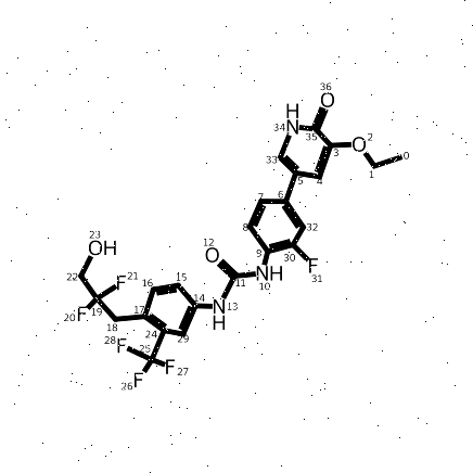 CCOc1cc(-c2ccc(NC(=O)Nc3ccc(CC(F)(F)CO)c(C(F)(F)F)c3)c(F)c2)c[nH]c1=O